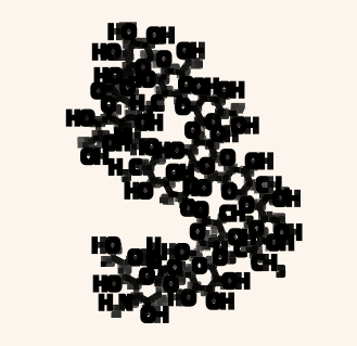 CC1C(O)[C@H](O[C@@H]2OC(CO[C@]3(C(=O)O)C[C@@H](O)[C@@H](N)C([C@H](O)C(O)CO)O3)[C@H](O)C(O)[C@@H]2O)[C@H](CO)O[C@H]1OO[C@@H](C[C@@H](O)[C@H](O)C(C)CO)OCC1O[C@@H](O[C@@H]2C(CO)O[C@@H](O[C@@H](CO)C(CO)O[C@@H](O)C(C)C)[C@@H](C)C2O)[C@H](O)C(O[C@H]2O[C@H](CO)[C@@H](O)C(O)C2O[C@@H]2OC(CO)[C@@H](O[C@@H]3OC(CO[C@]4(C(=O)O)C[C@@H](O)[C@@H](N)C([C@H](O)C(O)CO)O4)[C@H](O)C(O)[C@@H]3O)C(O)[C@@H]2C)[C@@H]1O